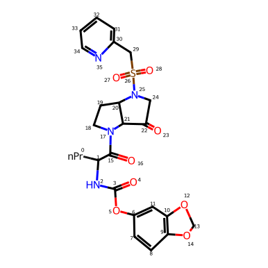 CCCC(NC(=O)Oc1ccc2c(c1)OCO2)C(=O)N1CCC2C1C(=O)CN2S(=O)(=O)Cc1ccccn1